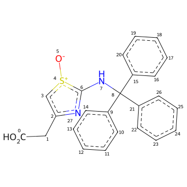 O=C(O)Cc1c[s+]([O-])c(NC(c2ccccc2)(c2ccccc2)c2ccccc2)n1